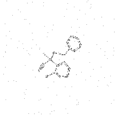 CC(C#N)(OCc1ccccc1)c1ccccc1Cl